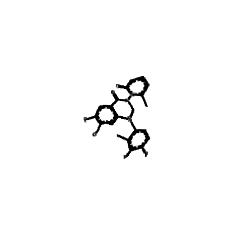 Cc1c(N2CN(n3c(C)cccc3=O)C(=O)c3cc(F)c(Cl)cc32)ccc(F)c1F